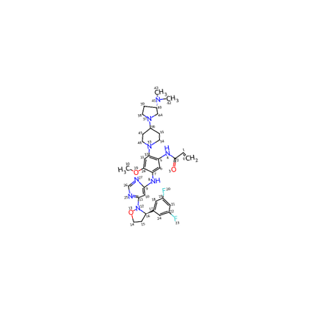 C=CC(=O)Nc1cc(Nc2cc(N3OCC[C@@H]3c3cc(F)cc(F)c3)ncn2)c(OC)cc1N1CCC(N2CC[C@H](N(C)C)C2)CC1